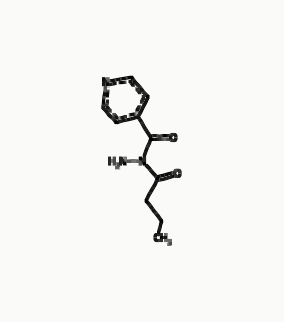 CCCC(=O)N(N)C(=O)c1ccncc1